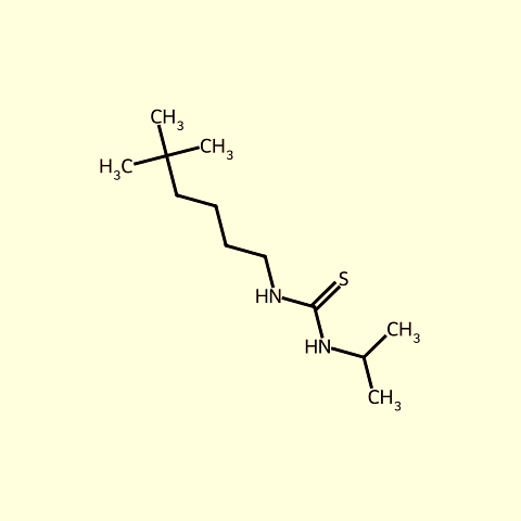 CC(C)NC(=S)NCCCCC(C)(C)C